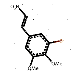 COc1cc(C=C[N+](=O)[O-])cc(Br)c1OC